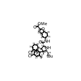 COC(=O)c1nc2cc(NC(=O)[C@@H]3N[C@@H](CC(C)(C)C)[C@](C)(c4ccc(Cl)cc4F)[C@H]3c3cccc(Cl)c3F)ccc2o1